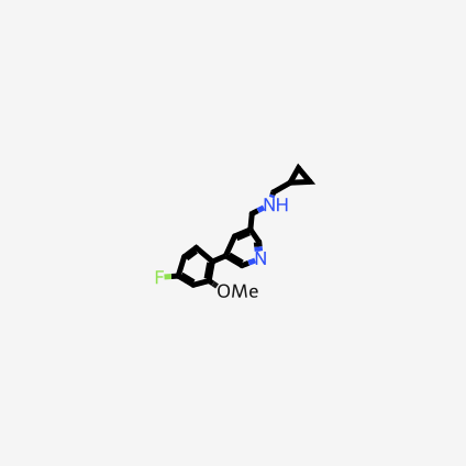 COc1cc(F)ccc1-c1cncc(CNCC2CC2)c1